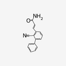 N#Cc1c(/C=C/C(N)=O)cccc1-c1ccccc1